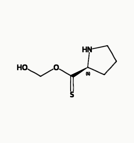 OCOC(=S)[C@@H]1CCCN1